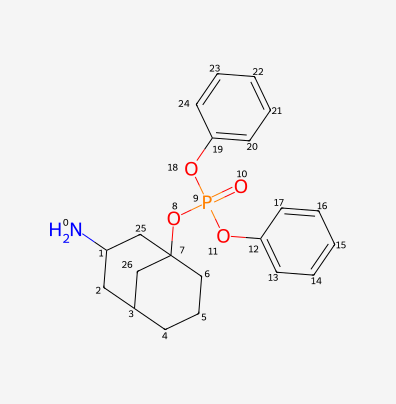 NC1CC2CCCC(OP(=O)(Oc3ccccc3)Oc3ccccc3)(C1)C2